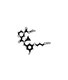 COCCCOc1cc(F)cc(CN(C(=O)C2CN(C(=O)OC(C)(C)C)CCO2)C2CC2)c1